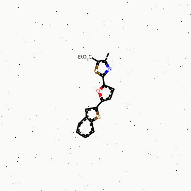 CCOC(=O)c1sc(-c2ccc(-c3cc4ccccc4s3)o2)nc1C